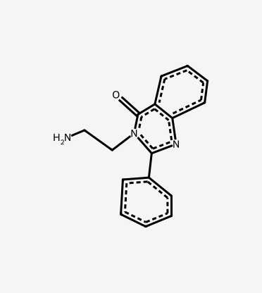 NCCn1c(-c2ccccc2)nc2ccccc2c1=O